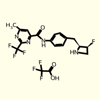 Cc1cc(C(=O)Nc2ccc(C[C@@H]3NC[C@@H]3F)cc2)nc(C(F)(F)F)n1.O=C(O)C(F)(F)F